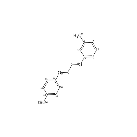 Cc1cccc(OCCOc2ccc(C(C)(C)C)cc2)c1